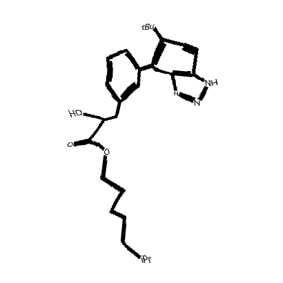 CC(C)CCCCCOC(=O)C(O)Cc1cccc(-c2c(C(C)(C)C)ccc3[nH]nnc23)c1